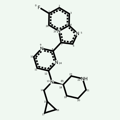 Fc1ccc2ncc(-c3nccc(N(CC4CC4)[C@@H]4CCCNC4)n3)n2c1